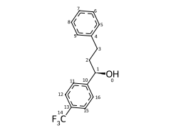 O[C@H](CCc1ccccc1)c1ccc(C(F)(F)F)cc1